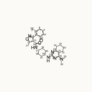 Cc1onc(-c2c(F)cccc2Cl)c1C(=O)N[C@H]1CC[C@@H](Nc2nc3c(c(N(C)C)n2)CCCC3)CC1